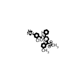 Cc1ccc2c(c1)c(S(C)(=O)=O)c1n2C[C@@](NC(=O)c2ccc(-n3cnnc3)cc2Cl)(c2ccccc2)CC1